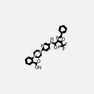 O=C(O)c1ccccc1N1CCN(c2ccc(NC(=O)c3nc(-c4ccccc4)oc3C(F)(F)F)cn2)CC1